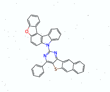 c1ccc(-c2nc(-n3c4ccccc4c4c5c(ccc43)oc3ccccc35)nc3c2sc2cc4ccccc4cc23)cc1